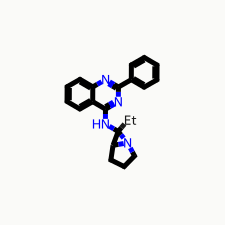 CCC1(Nc2nc(-c3ccccc3)nc3ccccc23)C2CCCN21